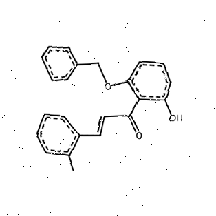 Cc1ccccc1C=CC(=O)c1c(O)cccc1OCc1ccccc1